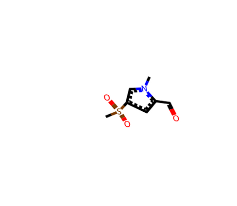 Cn1cc(S(C)(=O)=O)cc1C=O